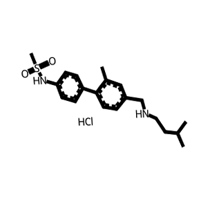 Cc1cc(CNCCC(C)C)ccc1-c1ccc(NS(C)(=O)=O)cc1.Cl